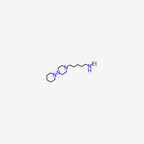 CCNCCCCCN1CCN(N2CCCCC2)CC1